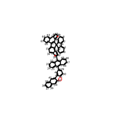 c1ccc2c(c1)-c1ccccc1C21c2c(ccc3cc(-c4c5ccccc5c(-c5ccc6oc7cc8ccccc8cc7c6c5)c5ccccc45)ccc23)-c2c1c1ccccc1c1ccccc21